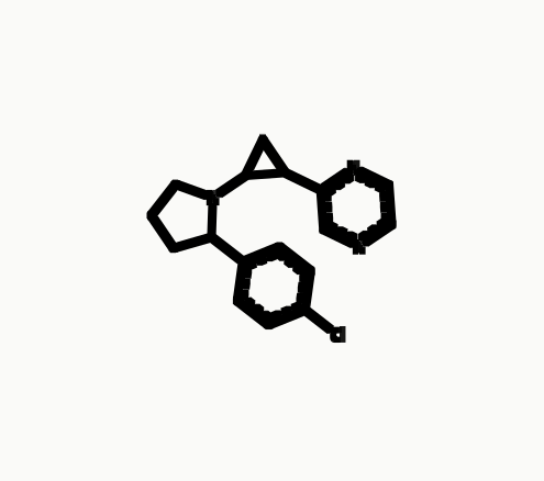 Clc1ccc(C2CCCN2C2CC2c2cnccn2)cc1